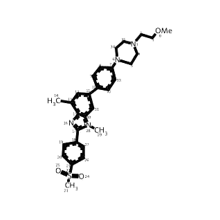 COCCN1CCN(c2ccc(-c3cc(C)c4nc(-c5ccc(S(C)(=O)=O)cc5)n(C)c4c3)cc2)CC1